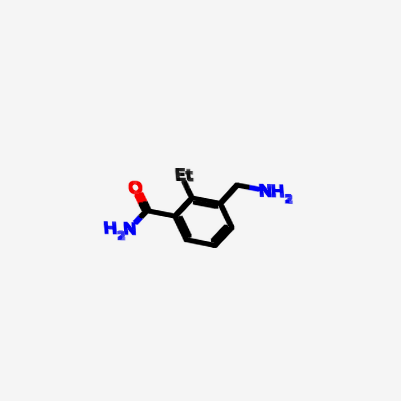 CCc1c(CN)cccc1C(N)=O